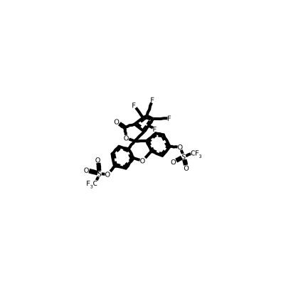 O=C1OC2(c3ccc(OS(=O)(=O)C(F)(F)F)cc3Oc3cc(OS(=O)(=O)C(F)(F)F)ccc32)c2c(F)c(F)c(F)c(F)c21